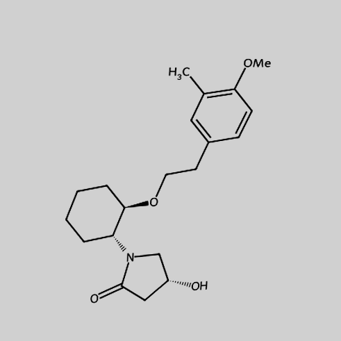 COc1ccc(CCO[C@@H]2CCCC[C@H]2N2C[C@H](O)CC2=O)cc1C